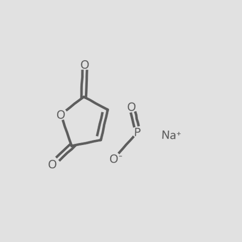 O=C1C=CC(=O)O1.O=P[O-].[Na+]